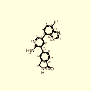 Nc1ncc(-c2ccc(F)c3ncsc23)cc1-c1ccc2c(c1)CNC2=O